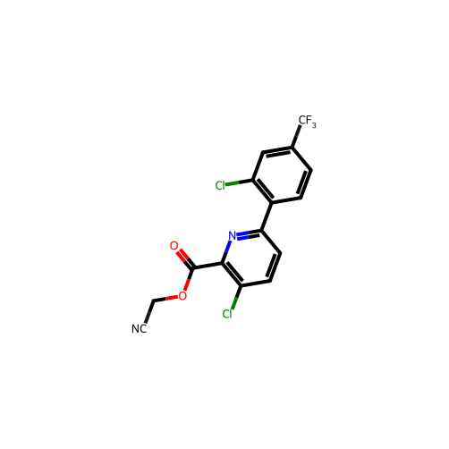 N#CCOC(=O)c1nc(-c2ccc(C(F)(F)F)cc2Cl)ccc1Cl